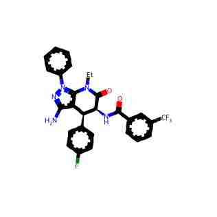 CCN1C(=O)[C@@H](NC(=O)c2cccc(C(F)(F)F)c2)[C@@H](c2ccc(F)cc2)c2c(N)nn(-c3ccccc3)c21